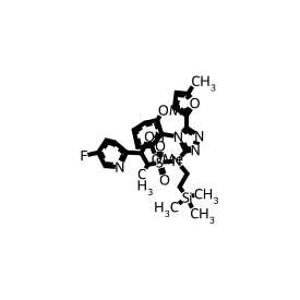 COc1cccc(OC)c1-n1c(-c2ccc(C)o2)nnc1N(CC[Si](C)(C)C)S(=O)(=O)C(C)C(O)c1ccc(F)cn1